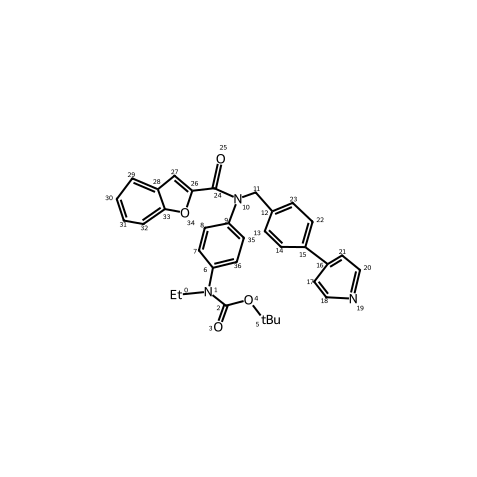 CCN(C(=O)OC(C)(C)C)c1ccc(N(Cc2ccc(-c3ccncc3)cc2)C(=O)c2cc3ccccc3o2)cc1